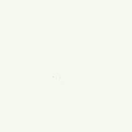 CCCCCCCCCCCCCCCC(=O)OCCC.[PbH2]